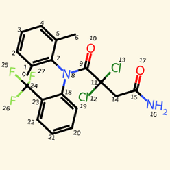 Cc1cccc(C)c1N(C(=O)C(Cl)(Cl)CC(N)=O)c1ccccc1C(F)(F)F